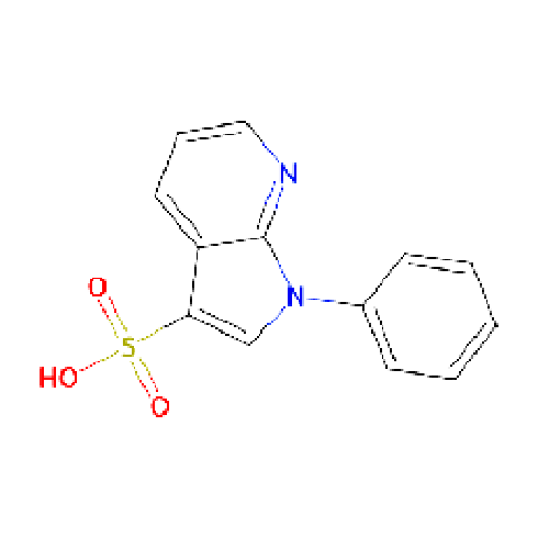 O=S(=O)(O)c1cn(-c2ccccc2)c2ncccc12